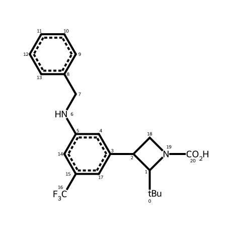 CC(C)(C)C1C(c2cc(NCc3ccccc3)cc(C(F)(F)F)c2)CN1C(=O)O